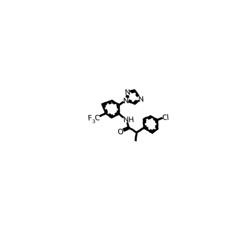 CC(C(=O)Nc1cc(C(F)(F)F)ccc1-n1cncn1)c1ccc(Cl)cc1